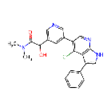 CN(C)C(=O)C(O)c1cncc(-c2cnc3[nH]cc(-c4ccccc4)c3c2Cl)c1